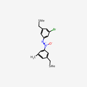 CSCc1cc(Br)cc(/N=[N+](\[O-])c2cc(C)cc(CSC)c2)c1